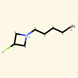 CC(C)CCCCN1CC(F)C1